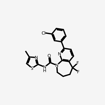 Cc1csc(NC(=O)N2CCCC(F)(F)c3ccc(-c4cccc(Cl)c4)nc32)n1